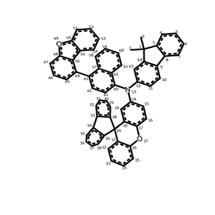 CC1(C)c2ccccc2-c2ccc(N(c3ccc4c(c3)C3(c5ccccc5O4)c4ccccc4-c4ccccc43)c3ccc(-c4cccc5oc6ccccc6c45)c4ccccc34)cc21